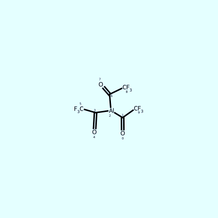 O=[C]([Al]([C](=O)C(F)(F)F)[C](=O)C(F)(F)F)C(F)(F)F